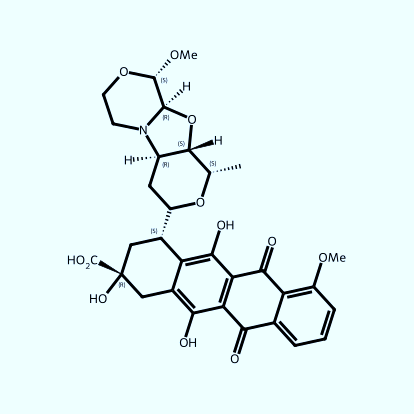 COc1cccc2c1C(=O)c1c(O)c3c(c(O)c1C2=O)C[C@@](O)(C(=O)O)C[C@@H]3C1C[C@@H]2[C@H](O[C@@H]3[C@@H](OC)OCCN23)[C@H](C)O1